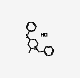 CC1CC(Sc2ccccc2)CCN1Cc1ccccc1.Cl